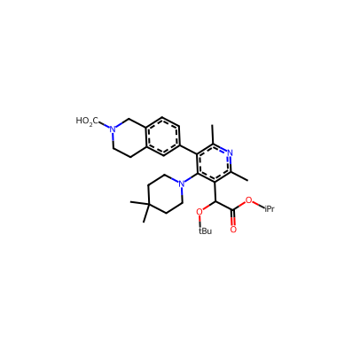 Cc1nc(C)c(C(OC(C)(C)C)C(=O)OC(C)C)c(N2CCC(C)(C)CC2)c1-c1ccc2c(c1)CCN(C(=O)O)C2